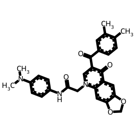 Cc1ccc(C(=O)c2cn(CC(=O)Nc3ccc(N(C)C)cc3)c3cc4c(cc3c2=O)OCO4)cc1C